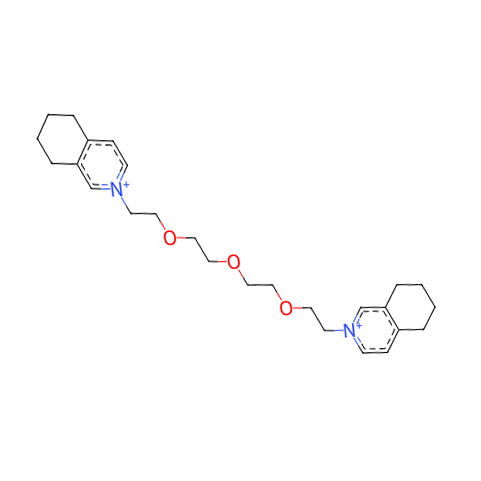 c1c[n+](CCOCCOCCOCC[n+]2ccc3c(c2)CCCC3)cc2c1CCCC2